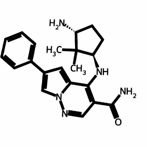 CC1(C)[C@H](N)CC[C@H]1Nc1c(C(N)=O)cnn2cc(-c3ccccc3)cc12